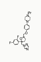 CC(C)N1CCN(c2ccc(OC[C@H]3CC[C@](Cn4cncn4)(c4ccc(F)cc4F)O3)cc2)CC1